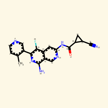 Cc1ccncc1-c1nc(N)c2cnc(NC(=O)C3CC3C#N)cc2c1F